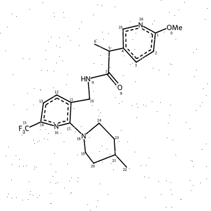 COc1ccc(C(C)C(=O)NCc2ccc(C(F)(F)F)nc2N2CCC(C)CC2)cn1